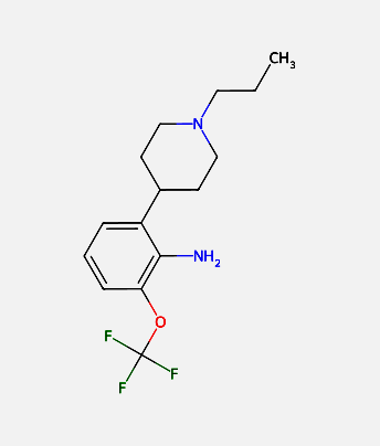 CCCN1CCC(c2cccc(OC(F)(F)F)c2N)CC1